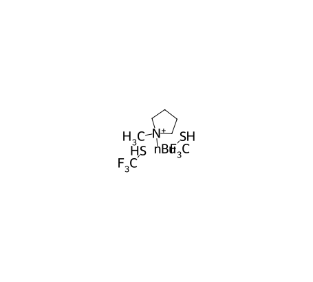 CCCC[N+]1(C)CCCC1.FC(F)(F)S.FC(F)(F)S